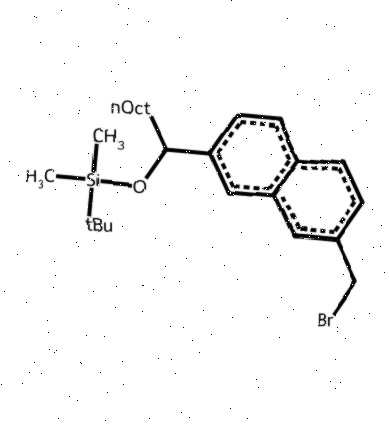 CCCCCCCCC(O[Si](C)(C)C(C)(C)C)c1ccc2ccc(CBr)cc2c1